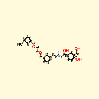 N#Cc1cccc(COCCOCc2cccc(CCNC[C@H](O)c3ccc(O)c(CO)c3)c2)c1